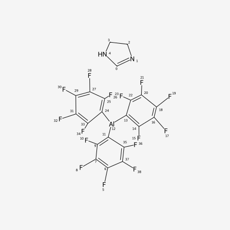 C1=NCCN1.Fc1c(F)c(F)[c]([Al]([c]2c(F)c(F)c(F)c(F)c2F)[c]2c(F)c(F)c(F)c(F)c2F)c(F)c1F